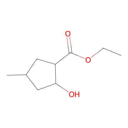 CCOC(=O)C1CC(C)CC1O